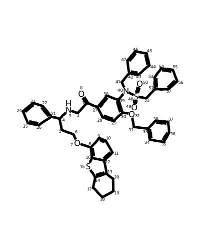 O=C(CNC(CCOc1cccc2c3c(sc12)CCCC3)c1ccccc1)c1ccc(OCc2ccccc2)c(N(Cc2ccccc2)S(=O)(=O)Cc2ccccc2)c1